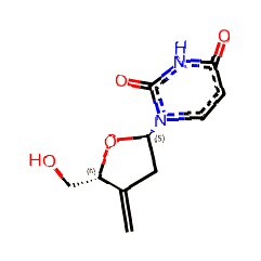 C=C1C[C@@H](n2ccc(=O)[nH]c2=O)O[C@H]1CO